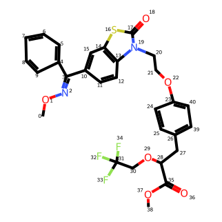 CO/N=C(\c1ccccc1)c1ccc2c(c1)sc(=O)n2CCOc1ccc(CC(OCC(F)(F)F)C(=O)OC)cc1